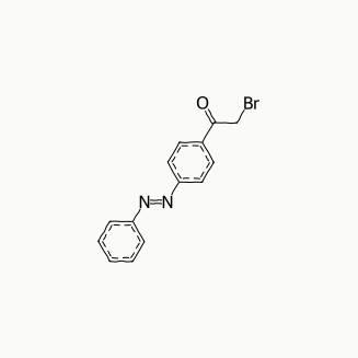 O=C(CBr)c1ccc(/N=N/c2ccccc2)cc1